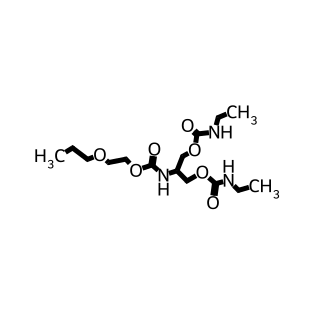 CCCOCCOC(=O)NC(COC(=O)NCC)COC(=O)NCC